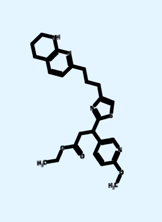 CCOC(=O)CC(c1ccc(OC)nc1)c1nc(CCCc2ccc3c(n2)NCCC3)cs1